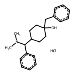 CN(C)C(c1ccccc1)C1CCC(O)(Cc2ccccc2)CC1.Cl